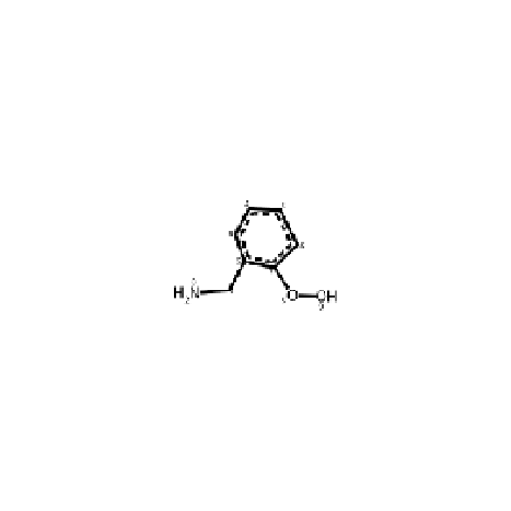 NCc1ccccc1OO